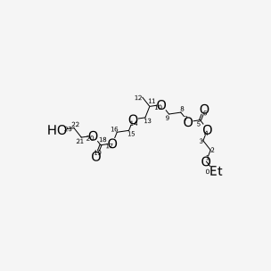 CCOCCOC(=O)OCCOC(C)COCCOC(=O)OCCO